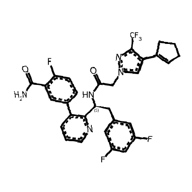 NC(=O)c1cc(-c2cccnc2[C@H](Cc2cc(F)cc(F)c2)NC(=O)Cn2cc(C3=CCCC3)c(C(F)(F)F)n2)ccc1F